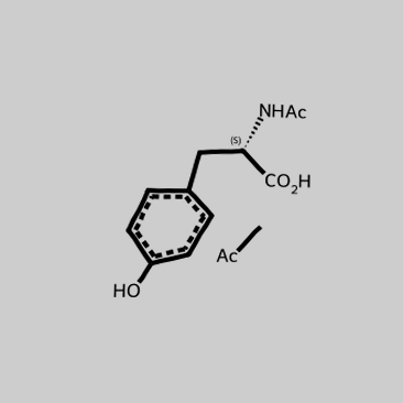 CC(=O)N[C@@H](Cc1ccc(O)cc1)C(=O)O.CC(C)=O